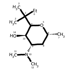 CCC(C)(C)C1O[C@H](C)C[C@H](N(C)C)[C@H]1O